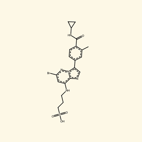 Cc1cc(-c2cnc3c(NCCCS(=O)(=O)O)cc(Br)nn23)ccc1C(=O)NC1CC1